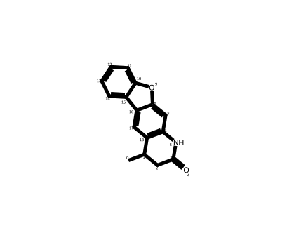 CC1CC(=O)Nc2cc3oc4ccccc4c3cc21